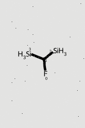 F[C]([SiH3])[SiH3]